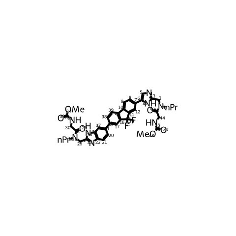 CCCN(Cc1ncc(-c2ccc3c(c2)C(F)(F)c2cc(-c4ccc5nc(CN(CCC)C(=O)CNC(=O)OC)[nH]c5c4)ccc2-3)[nH]1)C(=O)CNC(=O)OC